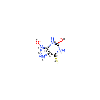 O=c1[nH]c(=S)c2[nH]c[n+]([O-])c2[nH]1